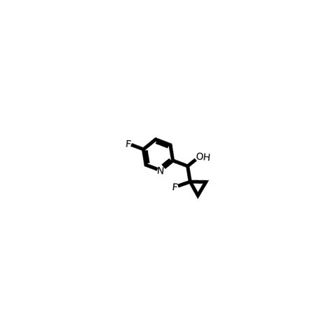 OC(c1ccc(F)cn1)C1(F)CC1